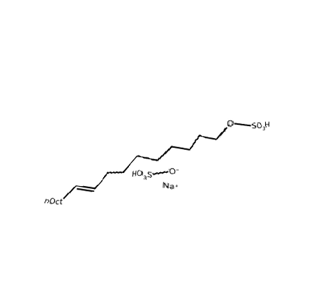 CCCCCCCCC=CCCCCCCCCOS(=O)(=O)O.O=S(=O)([O-])O.[Na+]